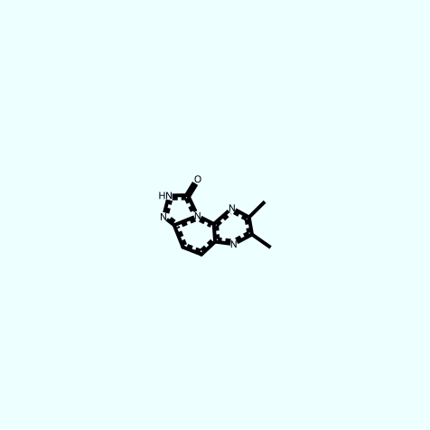 Cc1nc2ccc3n[nH]c(=O)n3c2nc1C